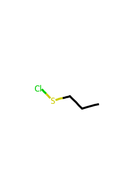 CCCSCl